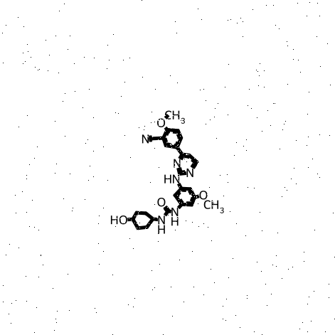 COc1cc(NC(=O)NC2CCC(O)CC2)cc(Nc2nccc(-c3ccc(OC)c(C#N)c3)n2)c1